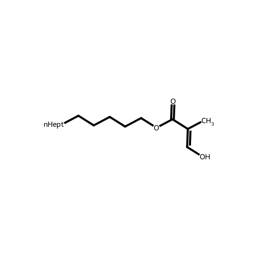 CCCCCCCCCCCCOC(=O)C(C)=CO